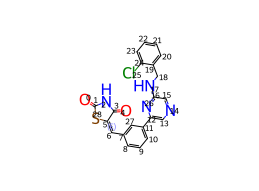 O=C1NC(=O)/C(=C\c2cccc(-c3cncc(NCc4ccccc4Cl)n3)c2)S1